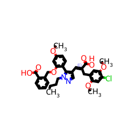 CCCCn1ncc(/C=C(\Cc2cc(OC)c(Cl)cc2OC)C(=O)O)c1-c1ccc(OC)cc1OCc1ccccc1C(=O)O